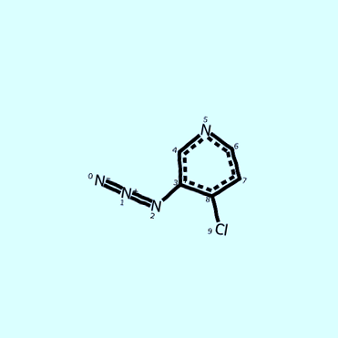 [N-]=[N+]=Nc1cnccc1Cl